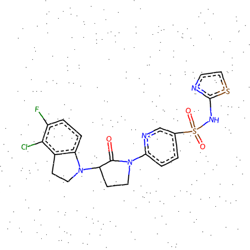 O=C1C(N2CCc3c2ccc(F)c3Cl)CCN1c1ccc(S(=O)(=O)Nc2nccs2)cn1